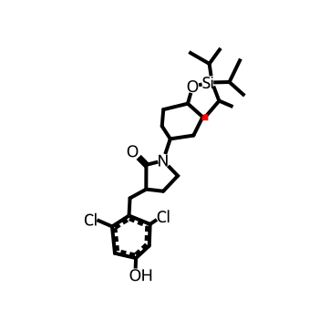 CC(C)[Si](OC1CCC(N2CCC(Cc3c(Cl)cc(O)cc3Cl)C2=O)CC1)(C(C)C)C(C)C